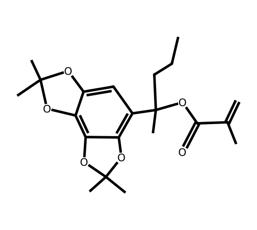 C=C(C)C(=O)OC(C)(CCC)c1cc2c(c3c1OC(C)(C)O3)OC(C)(C)O2